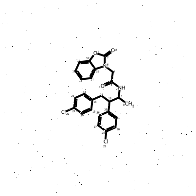 CC(NC(=O)Cn1c(=O)oc2ccccc21)C(Cc1ccc(Cl)cc1)c1ccc(Cl)cc1